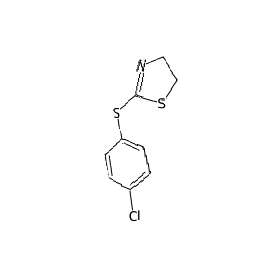 Clc1ccc(SC2=NCCS2)cc1